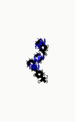 CC(C)(C)c1ccc(-c2cn3cccc(N4CCN(Cc5ccc6nccnc6c5)CC4)c3n2)cc1